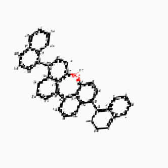 C1=c2ccccc2=C(c2ccc3oc4ccc(-c5cccc6ccccc56)c5cccc(c6cccc2c36)c45)CC1